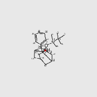 CC(C)(C)[Si](C)(C)OC12CC3CC(C1)C(N)(c1ccccc1)C(C3)C2